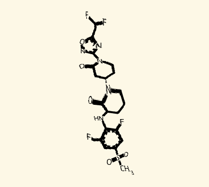 CS(=O)(=O)c1cc(F)c(NC2CCCN([C@H]3CCN(c4noc(C(F)F)n4)C(=O)C3)C2=O)c(F)c1